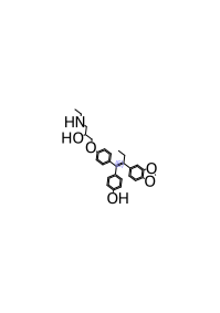 CCNCC(O)COc1ccc(/C(=C(\CC)c2ccc3c(c2)OCO3)c2ccc(O)cc2)cc1